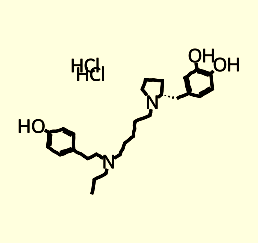 CCCN(CCCCCN1CCC[C@@H]1Cc1ccc(O)c(O)c1)CCc1ccc(O)cc1.Cl.Cl